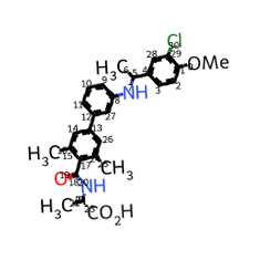 COc1ccc(C(C)Nc2cccc(-c3cc(C)c(C(=O)N[C@@H](C)C(=O)O)c(C)c3)c2)cc1Cl